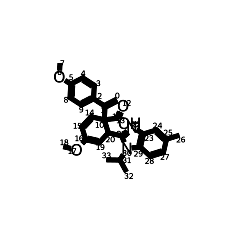 C=C(c1ccc(OC)cc1)C1(C(=O)O)C=CC(OC)=CC1c1nc2cc(C)ccc2n1C(C)C